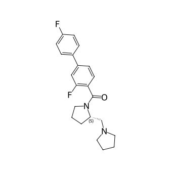 O=C(c1ccc(-c2ccc(F)cc2)cc1F)N1CCC[C@H]1CN1CCCC1